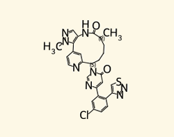 C[C@@H]1CCC[C@H](n2cnc(-c3cc(Cl)ccc3-c3csnn3)cc2=O)c2cc(ccn2)-c2c(cnn2C)NC1=O